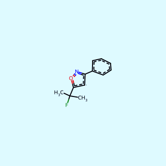 CC(C)(F)c1[c]c(-c2ccccc2)no1